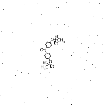 CCC(C)(CC)Oc1ccc(C(=O)c2ccc(OC(C)(CC)CC)cc2)cc1